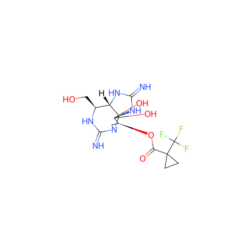 N=C1N[C@H]2[C@H](CO)NC(=N)N3C[C@H](OC(=O)C4(C(F)(F)F)CC4)C(O)(O)[C@]23N1